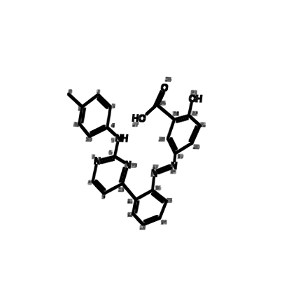 Cc1ccc(Nc2nccc(-c3ccccc3N=Nc3ccc(O)c(C(=O)O)c3)n2)cc1